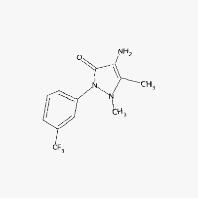 Cc1c(N)c(=O)n(-c2cccc(C(F)(F)F)c2)n1C